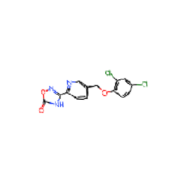 O=c1[nH]c(-c2ccc(COc3ccc(Cl)cc3Cl)cn2)no1